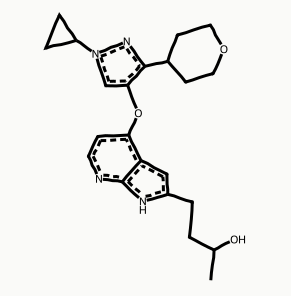 CC(O)CCc1cc2c(Oc3cn(C4CC4)nc3C3CCOCC3)ccnc2[nH]1